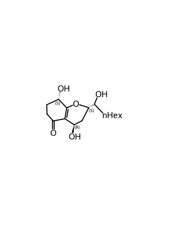 CCCCCCC(O)[C@@H]1C[C@@H](O)C2=C(O1)[C@@H](O)CCC2=O